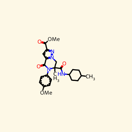 COC(=O)c1cc2n(n1)CC(C)(C(=O)NC1CCC(C)CC1)N(c1ccc(OC)cc1)C2=O